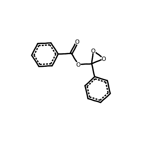 O=C(OC1(c2ccccc2)OO1)c1ccccc1